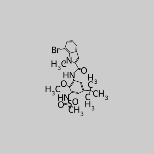 COc1c(NC(=O)c2cc3cccc(Br)c3n2C)cc(C(C)(C)C)cc1NS(C)(=O)=O